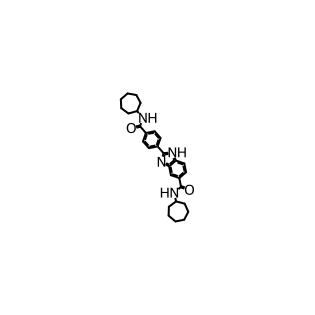 O=C(NC1CCCCCC1)c1ccc(-c2nc3cc(C(=O)NC4CCCCCC4)ccc3[nH]2)cc1